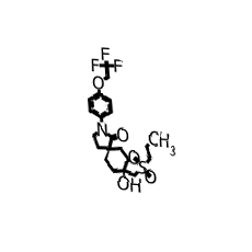 CCCS(=O)(=O)C[C@]1(O)CC[C@]2(CCN(c3ccc(OCC(F)(F)F)cc3)C2=O)CC1